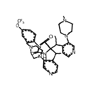 CC(c1ccncc1N1CCN(C)CC1)C1(C(C)c2ccncc2N2CCN(C)CC2)NC(=O)N(c2ccc(OC(F)(F)F)cc2)C1=O